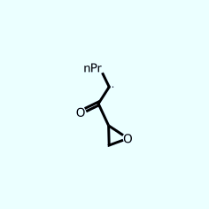 CCC[CH]C(=O)C1CO1